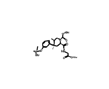 COC(=O)CNC(=O)[C@H]1C[C@@](C)(c2cccc(O[Si](C)(C)C(C)(C)C)c2)[C@@H](C)CN1C(=O)OC(C)(C)C